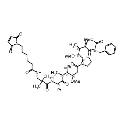 CC[C@H](C)[C@@H]([C@@H](CC(=O)N1CCC[C@H]1[C@H](OC)[C@@H](C)C(=O)N[C@@H](Cc1ccccc1)C(=O)OC)OC)N(C)C(=O)[C@@H](NC(=O)C(C)(C)CNC(=O)CCCCCN1C(=O)C=CC1=O)C(C)C